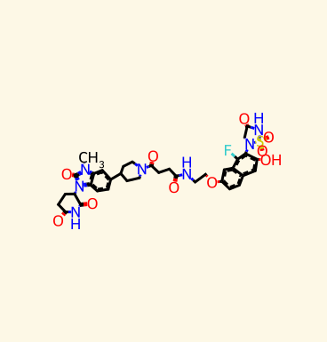 Cn1c(=O)n(C2CCC(=O)NC2=O)c2ccc(C3CCN(C(=O)CCC(=O)NCCOc4ccc5cc(O)c(N6CC(=O)NS6(=O)=O)c(F)c5c4)CC3)cc21